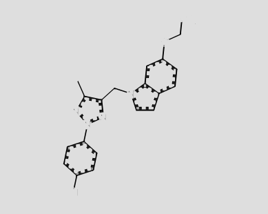 Cc1nn(-c2ccc(C(F)(F)F)cc2)nc1Cn1ccc2ccc(OCC(=O)O)cc21